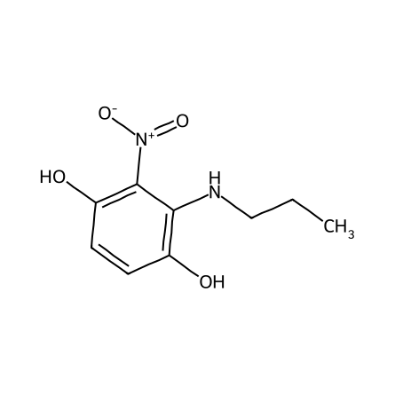 CCCNc1c(O)ccc(O)c1[N+](=O)[O-]